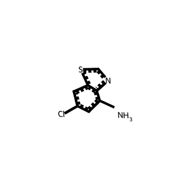 Cc1cc(Cl)cc2scnc12.N